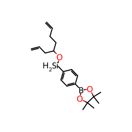 C=CCCC(CC=C)O[SiH2]c1ccc(B2OC(C)(C)C(C)(C)O2)cc1